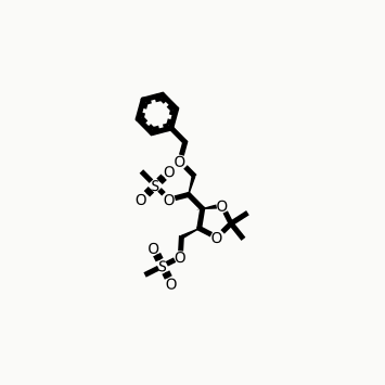 CC1(C)O[C@H]([C@H](COCc2ccccc2)OS(C)(=O)=O)[C@H](COS(C)(=O)=O)O1